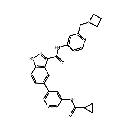 O=C(Nc1ccnc(CN2CCC2)c1)c1n[nH]c2ccc(-c3cncc(NC(=O)C4CC4)c3)cc12